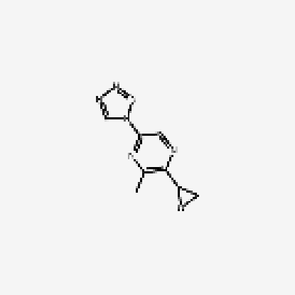 Cc1nc(-n2cnnn2)cnc1C1CO1